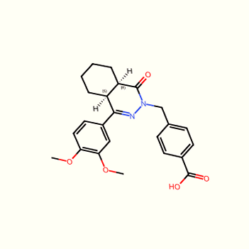 COc1ccc(C2=NN(Cc3ccc(C(=O)O)cc3)C(=O)[C@@H]3CCCC[C@H]23)cc1OC